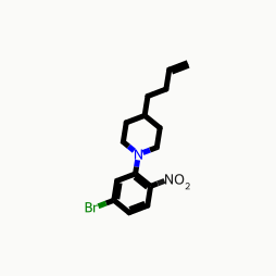 C=CCCC1CCN(c2cc(Br)ccc2[N+](=O)[O-])CC1